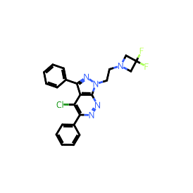 FC1(F)CN(CCn2nc(-c3ccccc3)c3c(Cl)c(-c4ccccc4)nnc32)C1